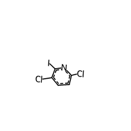 Clc1ccc(Cl)c(I)n1